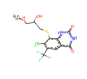 COCC(O)CSc1c(Cl)c(C(F)(F)F)cc2c(=O)[nH]c(=O)[nH]c12